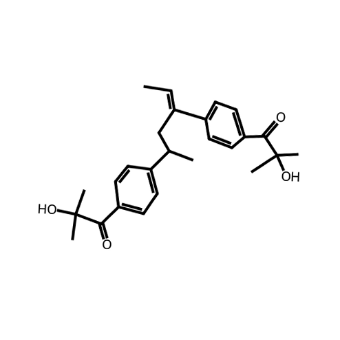 C/C=C(\CC(C)c1ccc(C(=O)C(C)(C)O)cc1)c1ccc(C(=O)C(C)(C)O)cc1